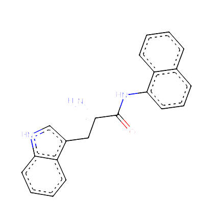 N[C@@H](Cc1c[nH]c2ccccc12)C(=O)Nc1cccc2ccccc12